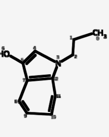 CCCn1cc(O)c2[c]cccc21